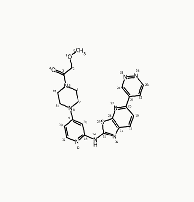 COCC(=O)N1CCN(c2ccnc(Nc3nc4ccc(-c5ccnnc5)nc4s3)c2)CC1